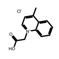 Cc1cc[n+](CC(=O)O)c2ccccc12.[Cl-]